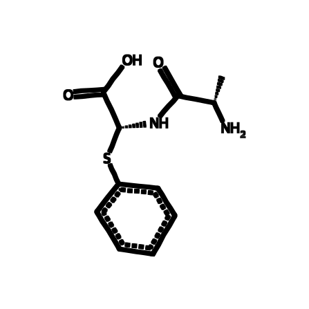 C[C@H](N)C(=O)N[C@H](Sc1ccccc1)C(=O)O